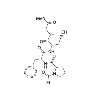 C#CCC(NC(=O)C(Cc1ccccc1)NC(=O)C1CCCN1C(=O)CC)C(=O)NCC(=O)NC